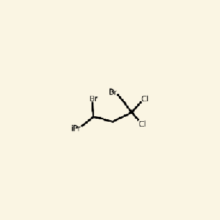 CC(C)C(Br)CC(Cl)(Cl)Br